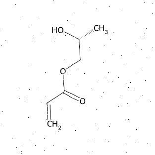 C=CC(=O)OC[C@@H](C)O